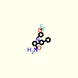 NC(=O)c1cccc2c1c1[c]cc(-c3ccccc3)cc1n2Cc1cccc(OC(F)F)c1